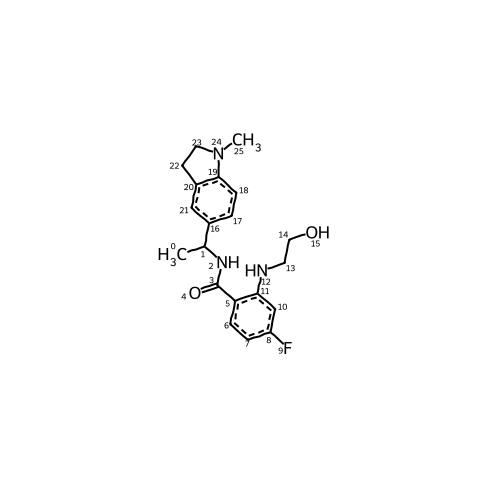 CC(NC(=O)c1ccc(F)cc1NCCO)c1ccc2c(c1)CCN2C